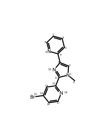 Cn1cc(-c2ccccn2)nc1-c1cc(Br)ccn1